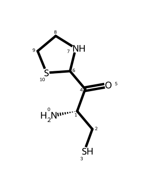 N[C@@H](CS)C(=O)C1NCCS1